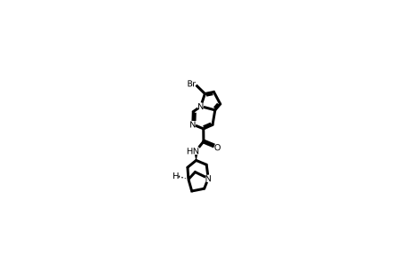 O=C(N[C@@H]1C[C@@H]2CCN(C2)C1)c1cc2ccc(Br)n2cn1